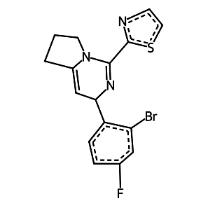 Fc1ccc(C2C=C3CCCN3C(c3nccs3)=N2)c(Br)c1